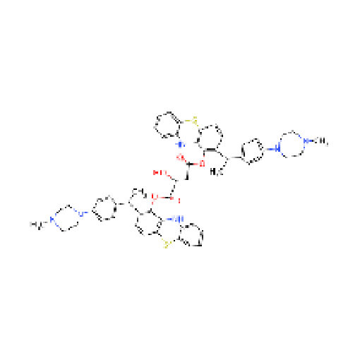 CC(c1ccc(N2CCN(C)CC2)cc1)c1ccc2c(c1OC(=O)CC(O)C(=O)Oc1c(C(C)c3ccc(N4CCN(C)CC4)cc3)ccc3c1Nc1ccccc1S3)Nc1ccccc1S2